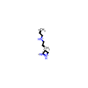 C1CNC1.C=CCNCC=C.N